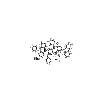 CC(C)(C)c1cc2c3c(c1)N(C1C=CC=CC1)c1nc4c(cc1B3c1ccccc1N2c1ccccc1)B1c2c(cc(N3c5ccccc5C5C=CC=CC53)cc2N4C2CC=CCC2)OC2C=CC=CC12